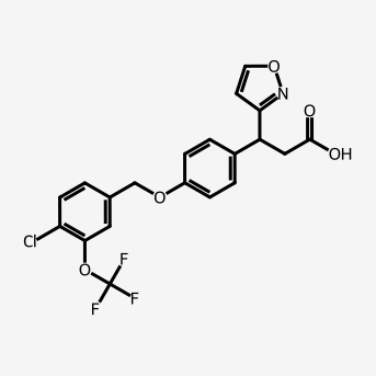 O=C(O)CC(c1ccc(OCc2ccc(Cl)c(OC(F)(F)F)c2)cc1)c1ccon1